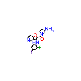 NC1CCN(C(=O)c2oc3ccncc3c2Nc2ccc(I)cc2F)C1